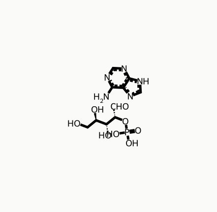 Nc1ncnc2[nH]cnc12.O=C[C@H](OP(=O)(O)O)[C@H](O)[C@H](O)CO